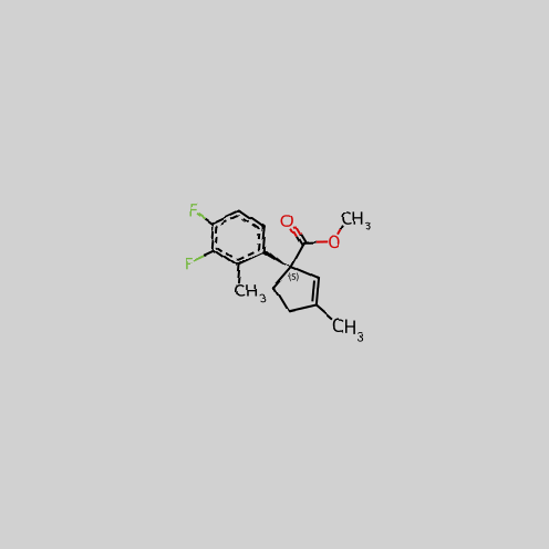 COC(=O)[C@]1(c2ccc(F)c(F)c2C)C=C(C)CC1